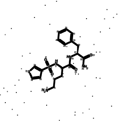 NCCCC(NS(=O)(=O)c1ccsc1)C(=O)N[C@@H](Cc1ccccc1)C(N)=O